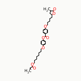 C=CC(=O)OCCCCCCCCOc1ccc(OC(=O)c2ccc(OCCCCCC3CC(=C)C(=O)O3)cc2)cc1